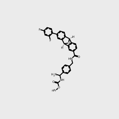 CCCOC(=O)NC(N)c1ccc(CNC(=O)c2ccc3c(c2)[C@@H]2O[C@H]3c3ccc(-c4ccc(F)cc4F)cc32)cc1